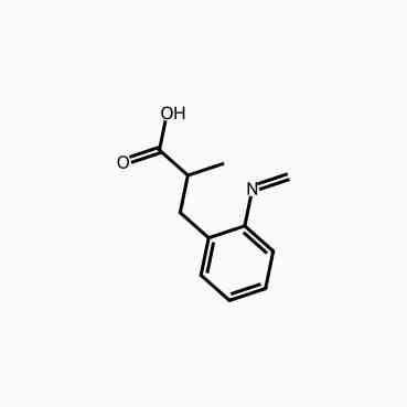 C=Nc1ccccc1CC(C)C(=O)O